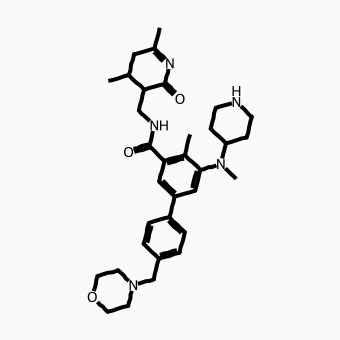 CC1=NC(=O)C(CNC(=O)c2cc(-c3ccc(CN4CCOCC4)cc3)cc(N(C)C3CCNCC3)c2C)C(C)C1